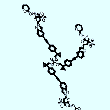 CC(CCn1cc2cc(C#Cc3ccc(C4(COP(=O)(OCC5(c6ccc(C#Cc7ccc8nn(CCC(C)(C(=O)NOC9CCCCO9)S(C)(=O)=O)cc8c7)cc6)CC5)OCC5(c6ccc(C#Cc7ccc8nn(CCC(C)(C(=O)NOC9CCCCO9)S(C)(=O)=O)cc8c7)cc6)CC5)CC4)cc3)ccc2n1)(C(=O)NOC1CCCCO1)S(C)(=O)=O